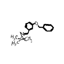 C[Si](C)(C)N=Cc1cccc(OCc2ccccc2)c1